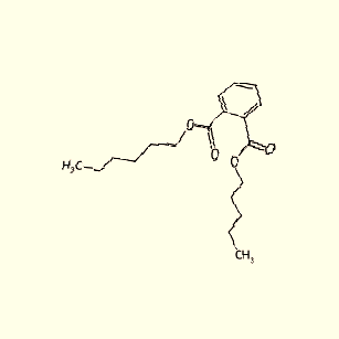 CCCCCCOC(=O)c1ccccc1C(=O)OCCCCC